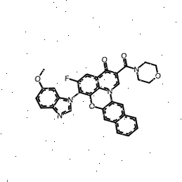 COc1ccc2ncn(-c3c(F)cc4c(=O)c(C(=O)N5CCOCC5)cn5c4c3Oc3cc4ccccc4cc3-5)c2c1